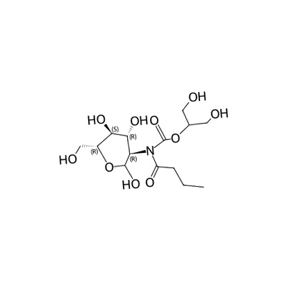 CCCC(=O)N(C(=O)OC(CO)CO)[C@H]1C(O)O[C@H](CO)[C@@H](O)[C@@H]1O